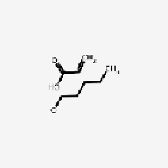 C=CC(=O)O.CCCCC[O]